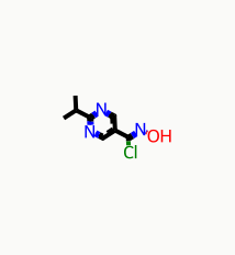 CC(C)c1ncc(/C(Cl)=N/O)cn1